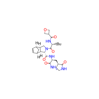 CC(C)(C)[C@H](NC(=O)C1COC1)C(=O)N1C[C@H]2[C@@H]([C@H]1C(=O)N[C@@H](C[C@@H]1CCNC1=O)C(N)=O)[C@H]1C=C[C@@H]2C1